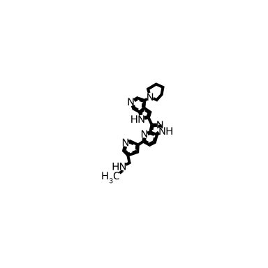 CCNCc1cncc(-c2ccc3[nH]nc(-c4cc5c(N6CCCCC6)cncc5[nH]4)c3n2)c1